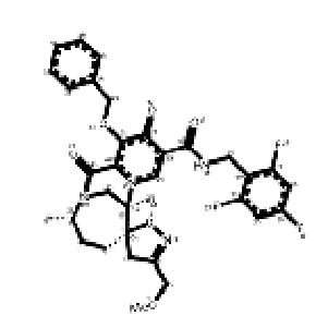 COCC1=NO[C@@]2(CC[C@H](C)N3C[C@H]2n2cc(C(=O)NCc4c(F)cc(F)cc4F)c(=O)c(OCc4ccccc4)c2C3=O)C1